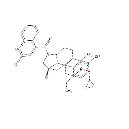 CCc1ccc(O)cc1C12CCN(CC3CC3)C(C)C13CCC1C2[C@@H](CN1C(=O)c1cc(=O)[nH]c2ccccc12)C3